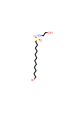 O=S(=O)(CCCCCCCCCCCCBr)NCCO